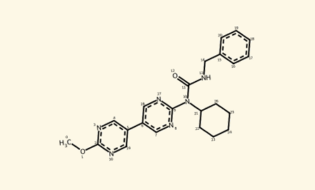 COc1ncc(-c2cnc(N(C(=O)NCc3ccccc3)C3CCCCC3)nc2)cn1